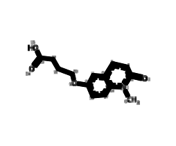 Cn1c(=O)ccc2cc(OCCCC(=O)O)ccc21